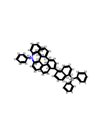 c1ccc(B(c2ccccc2)c2cccc3c(-c4ccc5c6ccccc6c6c(N(c7ccccc7)c7ccccc7)ccc7ccc4c5c76)cccc23)cc1